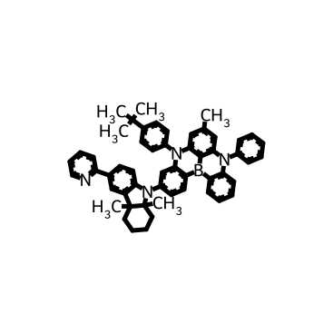 Cc1cc2c3c(c1)N(c1ccc(C(C)(C)C)cc1)c1cc(N4c5ccc(-c6ccccn6)cc5C5(C)CCCCC45C)ccc1B3c1ccccc1N2c1ccccc1